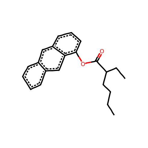 CCCCC(CC)C(=O)Oc1cccc2cc3ccccc3cc12